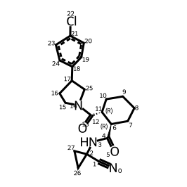 N#CC1(NC(=O)[C@@H]2CCCC[C@H]2C(=O)N2CCC(c3ccc(Cl)cc3)C2)CC1